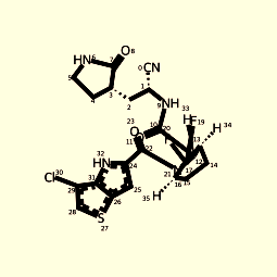 N#C[C@@H](C[C@@H]1CCNC1=O)NC(=O)[C@@H]1[C@H]2CC[C@H](CC2(F)F)N1C(=O)c1cc2scc(Cl)c2[nH]1